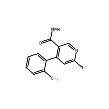 CNC(=O)c1cnc(I)cc1-c1ccccc1C